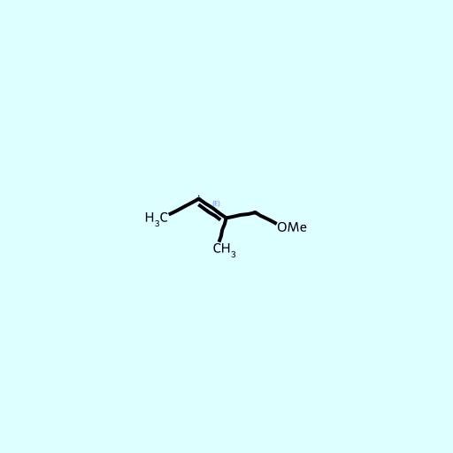 C/[C]=C(\C)COC